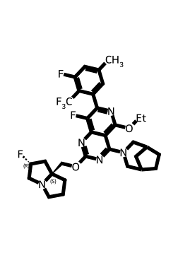 CCOc1nc(-c2cc(C)cc(F)c2C(F)(F)F)c(F)c2nc(OC[C@@]34CCCN3C[C@H](F)C4)nc(N3CC4CCC(C4)C3)c12